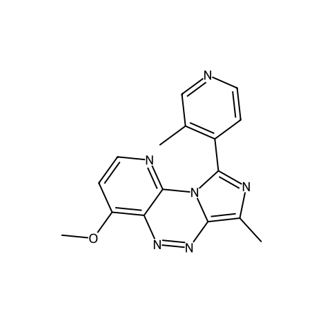 COc1ccnc2c1nnc1c(C)nc(-c3ccncc3C)n12